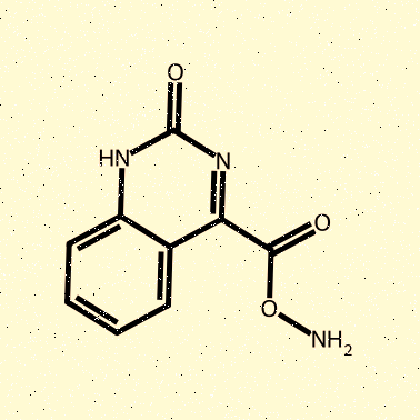 NOC(=O)c1nc(=O)[nH]c2ccccc12